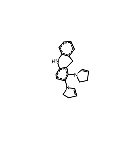 C1=CN(c2ccc3c(c2N2C=CCC2)Cc2ccccc2N3)CC1